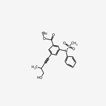 CC(C#Cc1cc(C(=O)OC(C)(C)C)cc(N(c2ccccc2)S(C)(=O)=O)c1)CO